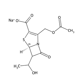 CC(=O)OCC1=C(C(=O)[O-])S[C@@H]2C(C(C)O)C(=O)N12.[Na+]